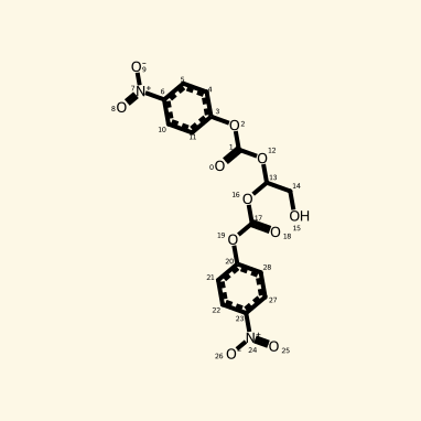 O=C(Oc1ccc([N+](=O)[O-])cc1)OC(CO)OC(=O)Oc1ccc([N+](=O)[O-])cc1